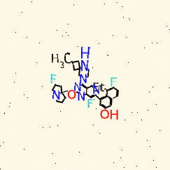 CCc1c(F)ccc2cc(O)cc(-c3ncc4c(N5CCNC6(CC(C)C6)C5)nc(OC[C@@]56CCCN5C[C@H](F)C6)nc4c3F)c12